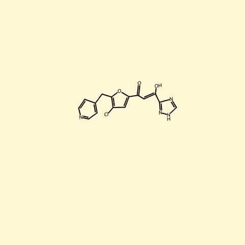 O=C(C=C(O)c1nc[nH]n1)c1cc(Cl)c(Cc2ccncc2)o1